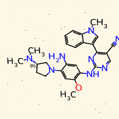 COc1cc(N2CC[C@@H](N(C)C)C2)c(N)cc1Nc1ncc(C#N)c(-c2cn(C)c3ccccc23)n1